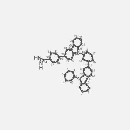 c1ccc(-n2c3ccccc3c3ccc(-c4cccc(-n5c6ccccc6c6cc(-c7ccc(C8NN8)cc7)ccc65)c4)cc32)cc1